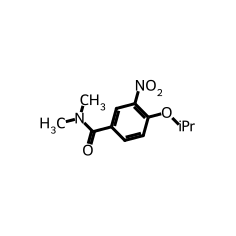 CC(C)Oc1ccc(C(=O)N(C)C)cc1[N+](=O)[O-]